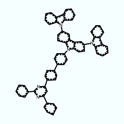 c1ccc(-c2cc(-c3ccc(-c4ccc(-n5c6ccc(-n7c8ccccc8c8ccccc87)cc6c6cc(-n7c8ccccc8c8ccccc87)ccc65)cc4)cc3)nc(-c3ccccc3)n2)cc1